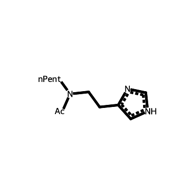 CCCCCN(CCc1c[nH]cn1)C(C)=O